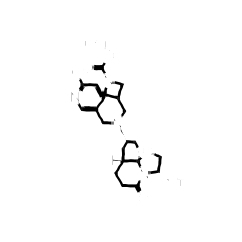 CC(C)[C@H]1CO[C@]23CC[C@H](N(Cc4ccc(C(F)(F)F)nc4)CC4CN(C(=O)OC(C)(C)C)C4)C[C@H]2CCC(=O)N13